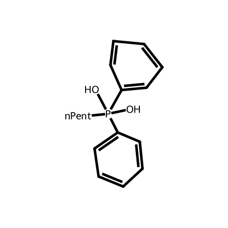 CCCCCP(O)(O)(c1ccccc1)c1ccccc1